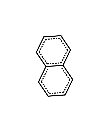 [c]1[c]cc2cc[c]cc2c1